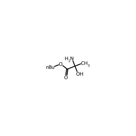 CCCCOC(=O)C(C)(N)O